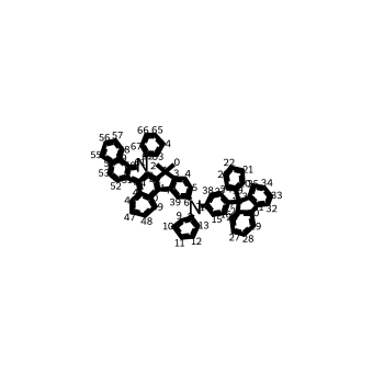 CC1(C)c2ccc(N(c3ccccc3)c3ccc(C4(c5ccccc5)c5ccccc5-c5ccccc54)cc3)cc2-c2c1c1c(c3ccccc23)c2ccc3ccccc3c2n1-c1ccccc1